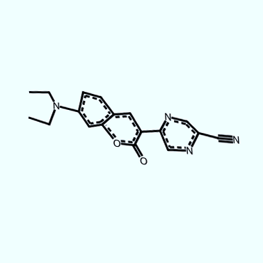 CCN(CC)c1ccc2cc(-c3cnc(C#N)cn3)c(=O)oc2c1